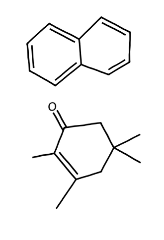 CC1=C(C)C(=O)CC(C)(C)C1.c1ccc2ccccc2c1